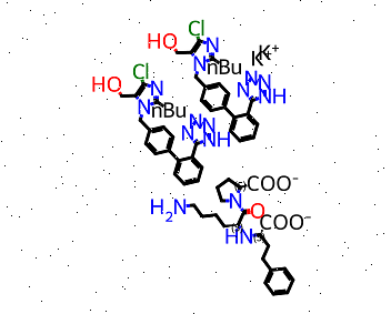 CCCCc1nc(Cl)c(CO)n1Cc1ccc(-c2ccccc2-c2nnn[nH]2)cc1.CCCCc1nc(Cl)c(CO)n1Cc1ccc(-c2ccccc2-c2nnn[nH]2)cc1.NCCCC[C@H](N[C@@H](CCc1ccccc1)C(=O)[O-])C(=O)N1CCC[C@H]1C(=O)[O-].[K+].[K+]